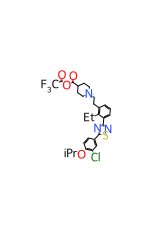 CCc1c(CCN2CCC(C(=O)OC(=O)C(F)(F)F)CC2)cccc1-c1nsc(-c2ccc(OC(C)C)c(Cl)c2)n1